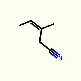 CC=C(C)CC#N